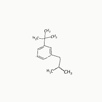 CC(C)Cc1c[c]cc(C(C)(C)C)c1